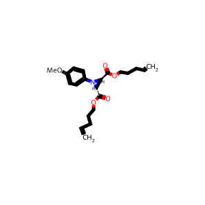 C=CCCCOC(=O)[C@H]1[C@H](C(=O)OCCCC=C)N1c1ccc(OC)cc1